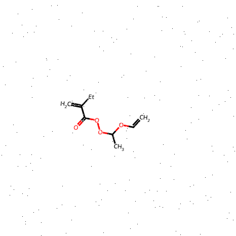 C=COC(C)OOC(=O)C(=C)CC